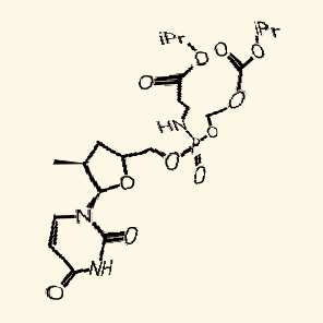 CC(C)OC(=O)CNP(=O)(OCOC(=O)OC(C)C)OCC1C[C@H](C)[C@H](n2ccc(=O)[nH]c2=O)O1